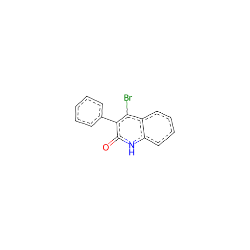 O=c1[nH]c2ccccc2c(Br)c1-c1ccccc1